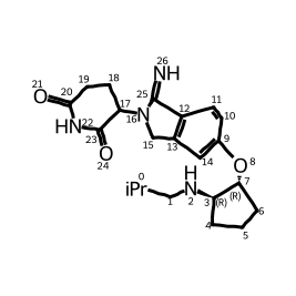 CC(C)CN[C@@H]1CCC[C@H]1Oc1ccc2c(c1)CN(C1CCC(=O)NC1=O)C2=N